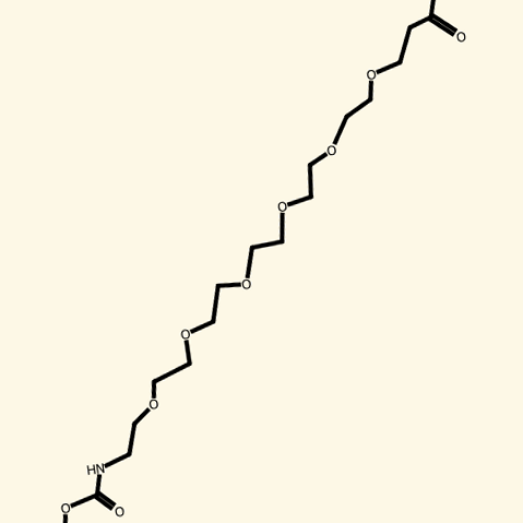 COC(=O)NCCOCCOCCOCCOCCOCCOCCC(=O)O